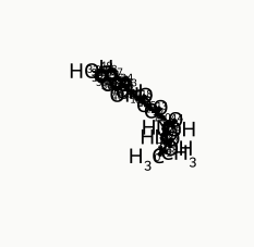 CC(C)C[C@H](NC(=O)N[C@@H](CCC(=O)OCOC(=O)CCCC1CCC2C3CC[C@@H]4C[C@H](O)CC[C@]4(C)C3C[C@H](O)[C@]12C)C(=O)O)C(=O)O